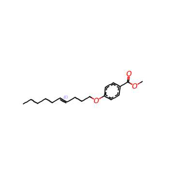 CCCCC/C=C/CCCOc1ccc(C(=O)OC)cc1